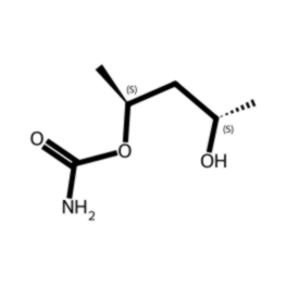 C[C@H](O)C[C@H](C)OC(N)=O